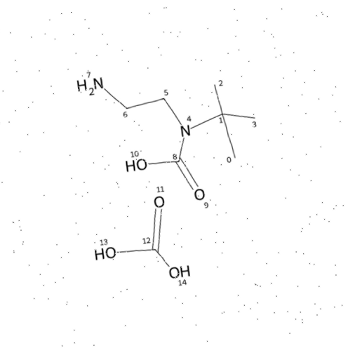 CC(C)(C)N(CCN)C(=O)O.O=C(O)O